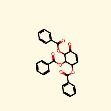 O=C(OC1C=CC(=O)C(OC(=O)c2ccccc2)C1OC(=O)c1ccccc1)c1ccccc1